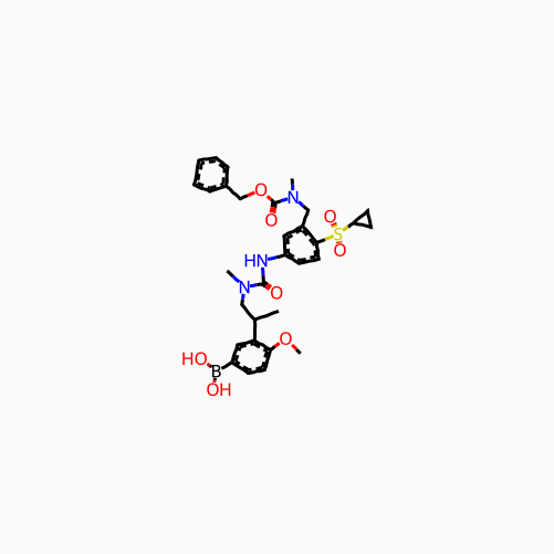 COc1ccc(B(O)O)cc1C(C)CN(C)C(=O)Nc1ccc(S(=O)(=O)C2CC2)c(CN(C)C(=O)OCc2ccccc2)c1